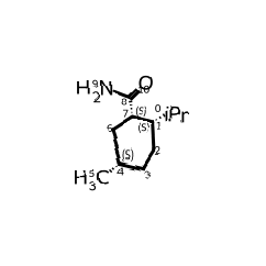 CC(C)[C@@H]1CC[C@H](C)C[C@@H]1C(N)=O